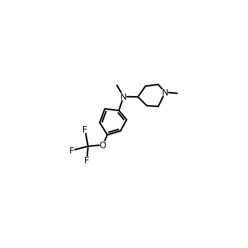 CN1CCC(N(C)c2ccc(OC(F)(F)F)cc2)CC1